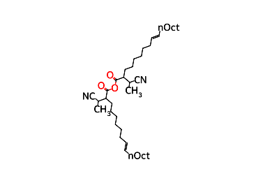 CCCCCCCCC=CCCCCCCC(C(=O)OC(=O)C(CCCCCCC=CCCCCCCCC)C(C)C#N)C(C)C#N